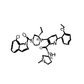 CCOc1ccccc1-c1ccc(N2CCN(C(=O)n3ccc4cccc(Cl)c43)C[C@H]2CC)c(C(=O)N[C@@H]2CCN(C)C2)n1